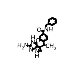 CC(c1ccc(C(=O)NCc2ccccc2)cc1)c1c[nH]c2nc(N)[nH]c(=O)c12